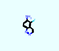 Nc1ccc2nnccc2c1F